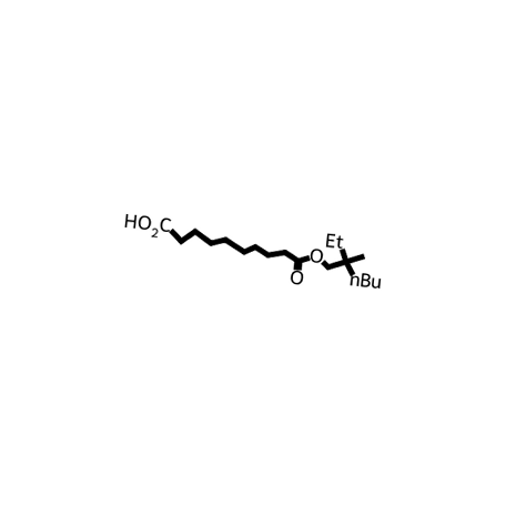 CCCCC(C)(CC)COC(=O)CCCCCCCCC(=O)O